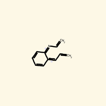 C=C/C=C1/C=CC=C/C1=N/C=C